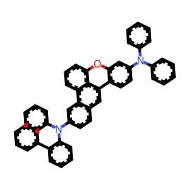 c1ccc(-c2ccccc2N(c2ccccc2)c2ccc3cc4c5c(cccc5c3c2)Oc2cc(N(c3ccccc3)c3ccccc3)ccc2-4)cc1